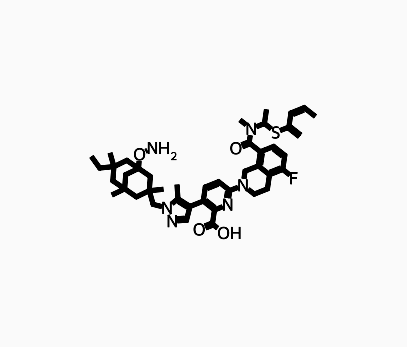 C=C(/C=C\C)SC(C)N(C)C(=O)c1ccc(F)c2c1CN(c1ccc(-c3cnn(CC4(C)CC5(C)CC(C)(CC)CC(ON)(C4)C5)c3C)c(C(=O)O)n1)CC2